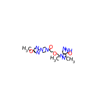 COc1cnc(N2CCN(C(=O)CCOCC(C)n3nc(C)c4c(=O)[nH]ncc43)CC2)nc1